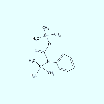 C[Si](C)(C)OC(=O)N(c1ccccc1)[Si](C)(C)C